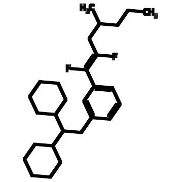 CCCC(C)C/C(F)=C(\F)c1cccc(CC(C2CCCCC2)C2CCCCC2)c1